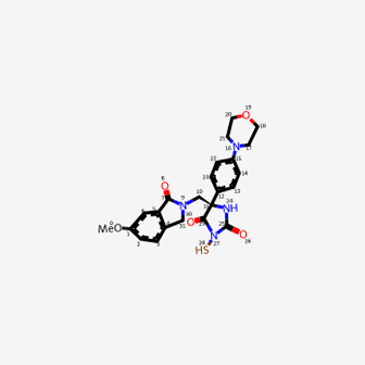 COc1ccc2c(c1)C(=O)N(C[C@@]1(c3ccc(N4CCOCC4)cc3)NC(=O)N(S)C1=O)C2